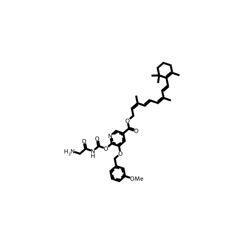 COc1cccc(COc2cc(C(=O)OCC=C(C)C=CC=C(C)C=CC3=C(C)CCCC3(C)C)cnc2OC(=O)NC(=O)CN)c1